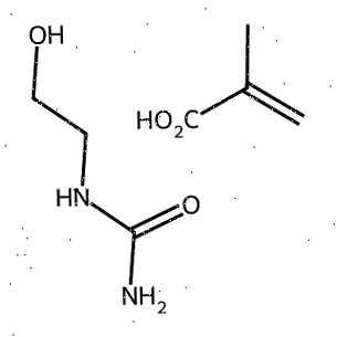 C=C(C)C(=O)O.NC(=O)NCCO